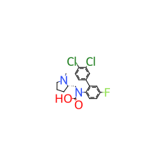 CN1CCC[C@H]1CN(C(=O)O)c1ccc(F)cc1-c1ccc(Cl)c(Cl)c1